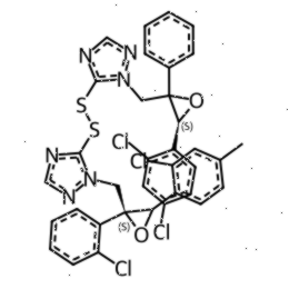 Cc1ccc(C2O[C@]2(Cn2ncnc2SSc2ncnn2CC2(c3ccccc3)O[C@H]2c2ccc(Cl)cc2Cl)c2ccccc2Cl)c(Cl)c1